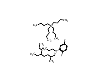 CCCC(CC)CCC(C)C[NH+](CCC)c1cc(F)ccc1F.CCC[CH2][Al-]([CH2]CCC)([CH2]CCC)[CH2]CCC